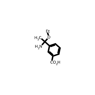 CCOC(C)(N)c1cccc(C(=O)O)c1